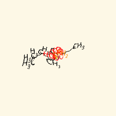 CCCCCCC(=O)OC(CCC=C(C)CCC=C(C)CCC=C(C)C)C(OC)([PH2]=O)S(=O)(=O)O